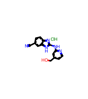 Cl.N#Cc1ccc2nc(Nc3cc(CO)ccn3)[nH]c2c1